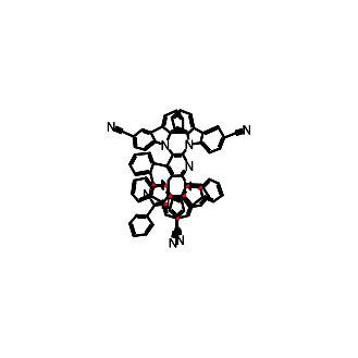 N#Cc1ccc2c(c1)c1ccccc1n2-c1nc(-n2c3ccccc3c3cc(C#N)ccc32)c(-n2c3ccccc3c3cc(C#N)ccc32)c(-c2ccccc2-c2nc(-c3ccccc3)nc(-c3ccccc3)n2)c1-n1c2ccccc2c2cc(C#N)ccc21